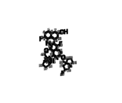 CCc1c(F)ccc2cc(O)cc(-c3nc4c5c(nc(OCC67CCCN6CC(F)C7)nc5c3F)N3CC5CCC(N5)C3CO4)c12